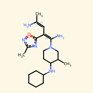 C/C(N)=C/C(=C(\N)N1CCC(NC2CCCCC2)C(C)C1)c1nc(C)no1